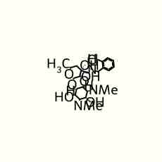 CN[C@@H]1[C@H](O)[C@H](NC)[C@H]2OC3(O)C(O[C@@H]2[C@H]1O)O[C@H](C)C[C@@]3(O)CNCc1ccccc1Cl